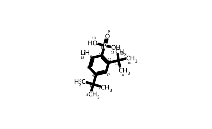 CC(C)(C)c1ccc(P(=O)(O)O)c(C(C)(C)C)c1.[LiH]